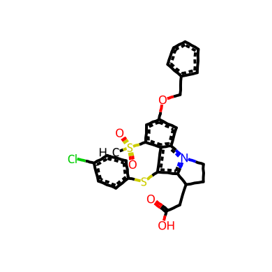 CS(=O)(=O)c1cc(OCc2ccccc2)cc2c1c(Sc1ccc(Cl)cc1)c1n2CCC1CC(=O)O